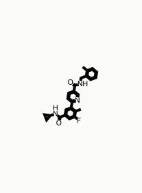 Cc1ccccc1CNC(=O)c1ccc(-c2cc(C(=O)NC3CC3)cc(F)c2C)nc1